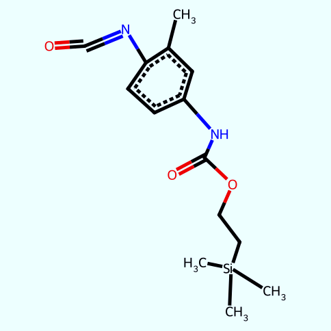 Cc1cc(NC(=O)OCC[Si](C)(C)C)ccc1N=C=O